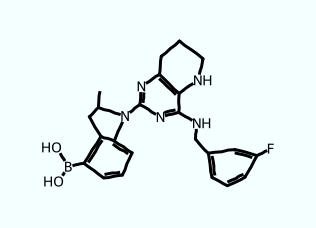 CC1Cc2c(B(O)O)cccc2N1c1nc2c(c(NCc3cccc(F)c3)n1)NCCC2